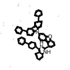 C1=CC2=C(C3=CC=C(c4ccccc4)CC3)NC(c3cccc4oc5cc(-n6c7ccc(-c8ccccc8)cc7c7cc(-c8ccccc8)ccc76)ccc5c34)NC2C=C1